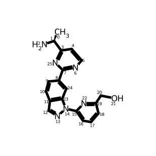 C[C@H](N)c1ccnc(-c2ccc3cnn(-c4cccc(CO)n4)c3c2)n1